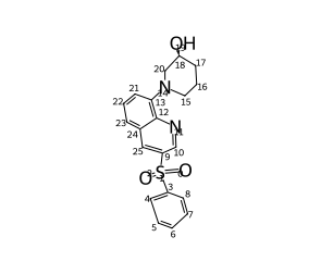 O=S(=O)(c1ccccc1)c1cnc2c(N3CCC[C@H](O)C3)cccc2c1